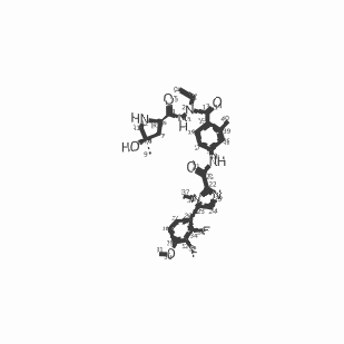 CCN(NC(=O)[C@H]1C[C@@](C)(O)CN1)C(=O)c1ccc(NC(=O)c2ncc(-c3ccc(OC)c(F)c3F)n2C)cc1C